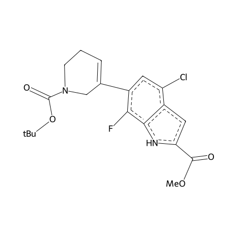 COC(=O)c1cc2c(Cl)cc(C3=CCCN(C(=O)OC(C)(C)C)C3)c(F)c2[nH]1